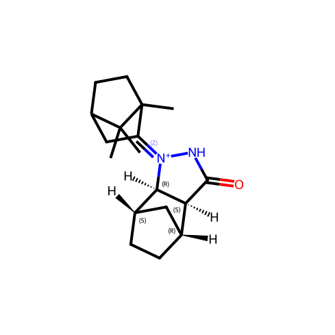 CC12CCC(C/C1=[N+]1/NC(=O)[C@H]3[C@@H]4CC[C@@H](C4)[C@H]31)C2(C)C